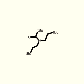 CC(C)(C)CCN(CCC(C)(C)C)C(=O)C(C)(C)C